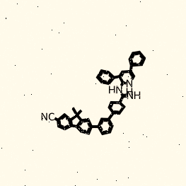 CC1(C)c2cc(C#N)ccc2-c2ccc(-c3cccc(C4=CCC(C(=N)NC5NC=C(c6ccccc6)C=C5c5ccccc5)C=C4)c3)cc21